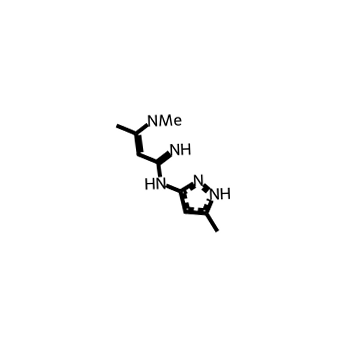 CN/C(C)=C\C(=N)Nc1cc(C)[nH]n1